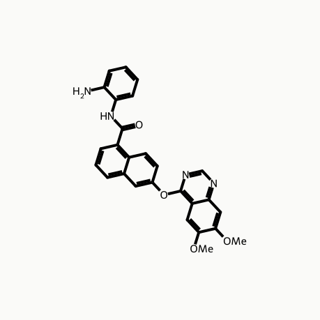 COc1cc2ncnc(Oc3ccc4c(C(=O)Nc5ccccc5N)cccc4c3)c2cc1OC